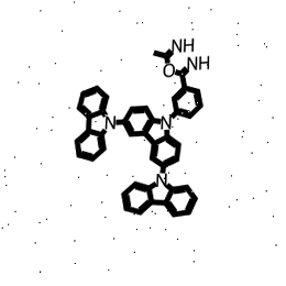 CC(=N)OC(=N)c1cccc(-n2c3ccc(-n4c5ccccc5c5ccccc54)cc3c3cc(-n4c5ccccc5c5ccccc54)ccc32)c1